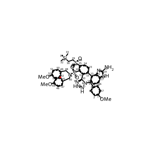 COc1ccc(CN2NNN=C2c2c(-c3cccc4[nH]c(N)nc34)ccc(S(=O)(=O)CC[Si](C)(C)C)c2S(=O)(=O)N(Cc2ccc(OC)cc2)Cc2ccc(OC)cc2)cc1